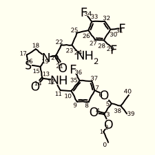 CCOC(=O)C(Oc1ccc(CNC(=O)C2SCCN2C(=O)CC(N)Cc2cc(F)c(F)cc2F)c(F)c1)C(C)C